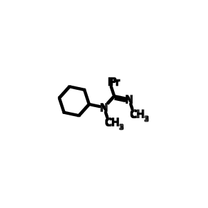 C/N=C(/C(C)C)N(C)C1CCCCC1